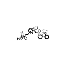 Cl.O=C(/C=C/c1cccc(/C=C/C(=O)N2CCCC(c3ccccc3C(F)(F)F)C2)n1)NO